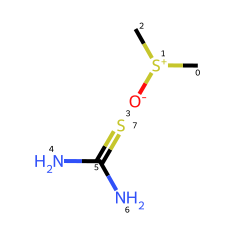 C[S+](C)[O-].NC(N)=S